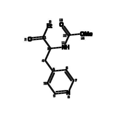 CCC(=O)C(Cc1ccncc1)NC(=O)OC